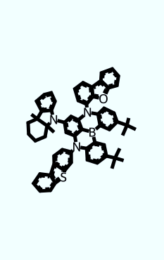 CC(C)(C)c1ccc2c(c1)B1c3cc(C(C)(C)C)ccc3N(c3cccc4c3oc3ccccc34)c3cc(N4c5ccccc5C5(C)CCCCC45C)cc(c31)N2c1ccc2c(c1)sc1ccccc12